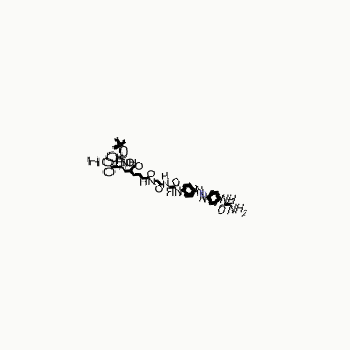 CC(C)(C)OC(=O)N[C@@H](CC(CCCC(=O)NCC(=O)NCC(=O)Nc1ccc(/N=N/c2ccc(NC(=O)CN)cc2)cc1)C(=O)O)C(=O)O